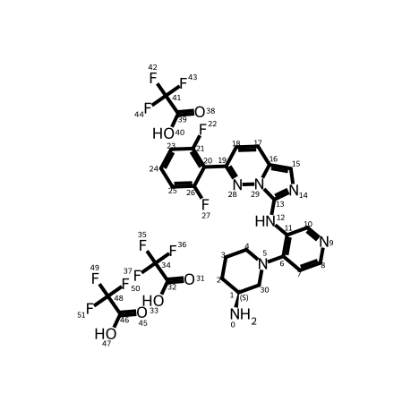 N[C@H]1CCCN(c2ccncc2Nc2ncc3ccc(-c4c(F)cccc4F)nn23)C1.O=C(O)C(F)(F)F.O=C(O)C(F)(F)F.O=C(O)C(F)(F)F